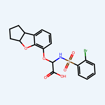 O=C(O)C(NS(=O)(=O)c1ccccc1Br)Oc1cccc2c1OC1CCCC21